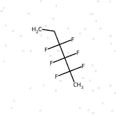 [CH2]CC(F)(F)C(F)(F)C(C)(F)F